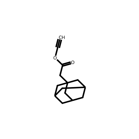 C#COC(=O)CC12CC3CC(CC(C3)C1)C2